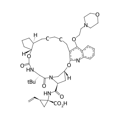 C=C[C@@H]1C[C@]1(NC(=O)[C@@H]1C[C@@H]2CN1C(=O)[C@H](C(C)(C)C)NC(=O)O[C@@H]1CCC[C@H]1CCCCCc1c(nc3ccccc3c1OCCN1CCOCC1)O2)C(=O)O